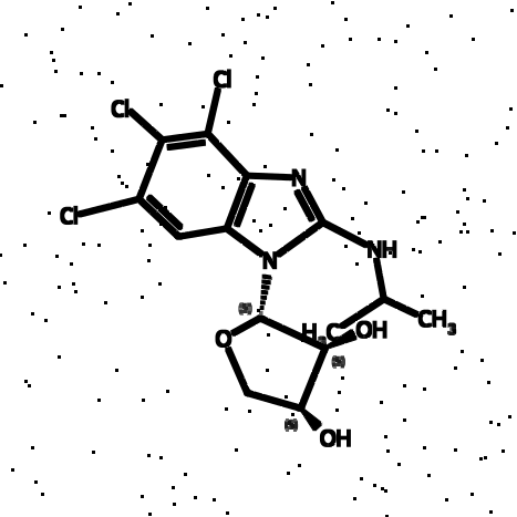 CC(C)Nc1nc2c(Cl)c(Cl)c(Cl)cc2n1[C@H]1OC[C@H](O)[C@@H]1O